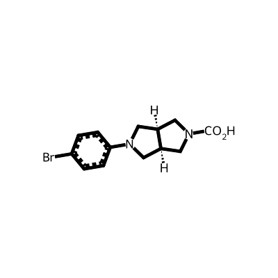 O=C(O)N1C[C@@H]2CN(c3ccc(Br)cc3)C[C@@H]2C1